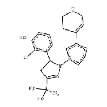 Cl.OC(C1=NN(c2cccc(C3=CCNCC3)c2)C(c2ccccc2Cl)C1)(C(F)(F)F)C(F)(F)F